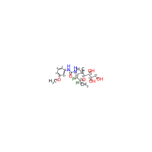 COc1cccc(NC(=O)N[C@H]2C(F)C(C)(F)O[C@@H]([C@H](O)[C@H](O)CO)[C@@H]2C)c1